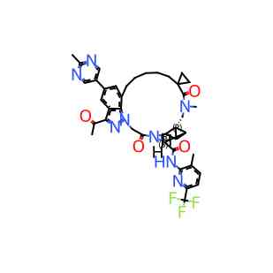 CC(=O)c1nn2c3c(cc(-c4cnc(C)nc4)cc13)CCCCCC1(CC1)C(=O)N(C)C[C@]13C4C1[C@H]3N(C(=O)C2)[C@@H]4C(=O)Nc1nc(C(F)(F)F)ccc1C